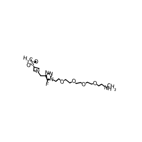 CNCCOCCOCCOCCOCCn1nnc(CN2CC(S(C)(=O)=O)C2)c1F